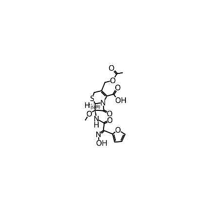 CO[C@@]1(NC(=O)C(=NO)c2ccco2)C(=O)N2C(C(=O)O)=C(COC(C)=O)CS[C@@H]21